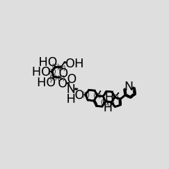 C[C@]12CC[C@H](OCNC(=O)O[C@@H]3O[C@H](CO)[C@@H](O)[C@H](O)[C@H]3O)CC1=CC[C@@H]1C2CC[C@]2(C)C(c3cccnc3)=CC[C@@H]12